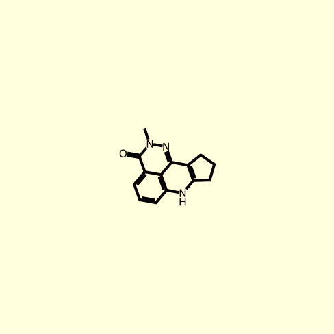 Cn1nc2c3c(cccc3c1=O)NC1=C2CCC1